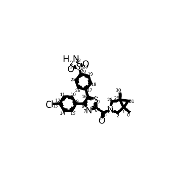 CC12CN(C(=O)c3nc(-c4ccc(Cl)cc4)c(-c4ccc(S(N)(=O)=O)cc4)s3)CC1(C)C2